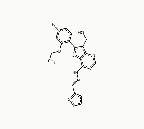 CCOc1cc(F)ccc1-c1sc2c(NN=Cc3cccs3)ncnc2c1CO